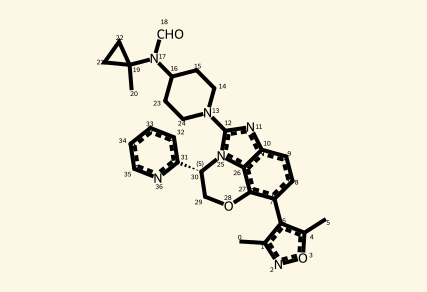 Cc1noc(C)c1-c1ccc2nc(N3CCC(N(C=O)C4(C)CC4)CC3)n3c2c1OC[C@@H]3c1ccccn1